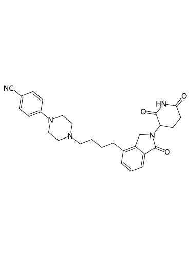 N#Cc1ccc(N2CCN(CCCCc3cccc4c3CN(C3CCC(=O)NC3=O)C4=O)CC2)cc1